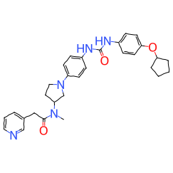 CN(C(=O)Cc1cccnc1)C1CCN(c2ccc(NC(=O)Nc3ccc(OC4CCCC4)cc3)cc2)C1